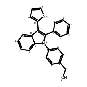 OCc1ccc(-n2c(-c3ccccc3)c(-c3cccs3)c3ccccc32)cc1